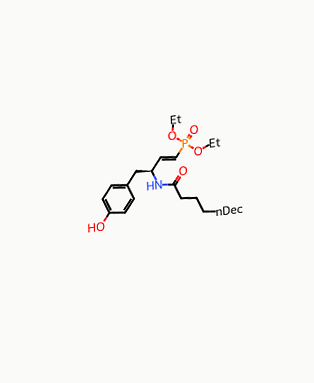 CCCCCCCCCCCCCC(=O)N[C@H](/C=C/P(=O)(OCC)OCC)Cc1ccc(O)cc1